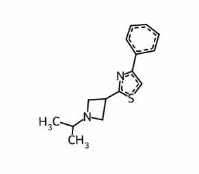 CC(C)N1CC(c2nc(-c3ccccc3)cs2)C1